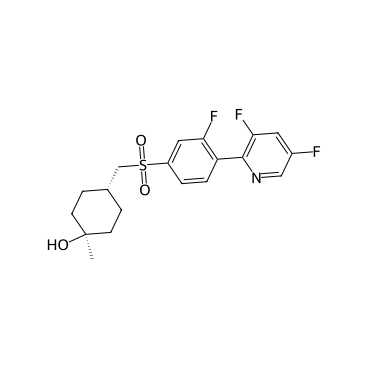 C[C@]1(O)CC[C@H](CS(=O)(=O)c2ccc(-c3ncc(F)cc3F)c(F)c2)CC1